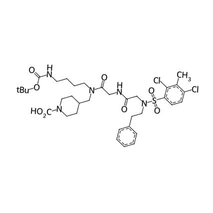 Cc1c(Cl)ccc(S(=O)(=O)N(CCc2ccccc2)CC(=O)NCC(=O)N(CCCCNC(=O)OC(C)(C)C)CC2CCN(C(=O)O)CC2)c1Cl